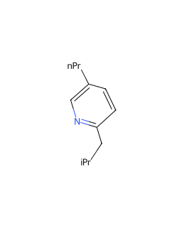 CCCc1ccc(CC(C)C)nc1